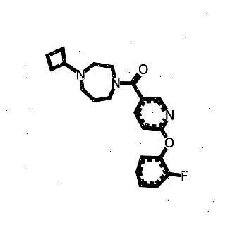 O=C(c1ccc(Oc2ccccc2F)nc1)N1CCCN(C2CCC2)CC1